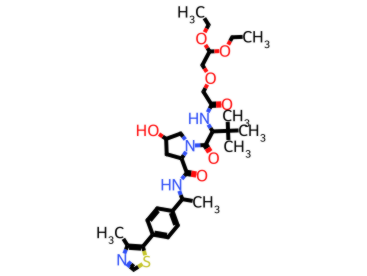 CCOC(COCC(=O)NC(C(=O)N1CC(O)CC1C(=O)NC(C)c1ccc(-c2scnc2C)cc1)C(C)(C)C)OCC